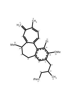 C=C1C=C2C(=CC=C1C)c1c(cc(CC(C)CC(C)CCC)c(OC)c1CC)CCC2NC